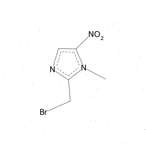 Cn1c([N+](=O)[O-])cnc1CBr